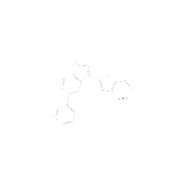 c1cncc(-c2cc3c(-c4cc5ccncc5[nH]4)n[nH]c3cn2)c1